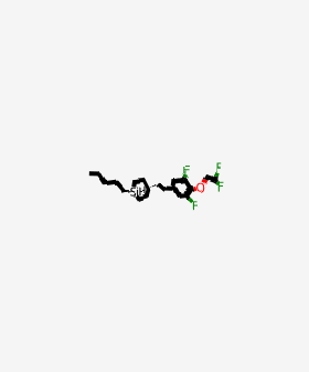 CCCCC[Si@H]1CC[C@H](CCc2cc(F)c(OCC(F)F)c(F)c2)CC1